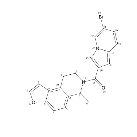 CC1c2ccc3occc3c2CCN1C(=O)c1cc2ccc(Br)cn2n1